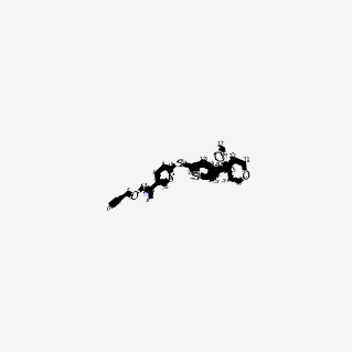 C#CCO/N=C(\C)c1ccc(Sc2cc(C3(OC)CCOCC3)cs2)nc1